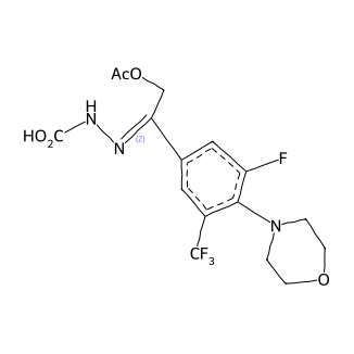 CC(=O)OC/C(=N\NC(=O)O)c1cc(F)c(N2CCOCC2)c(C(F)(F)F)c1